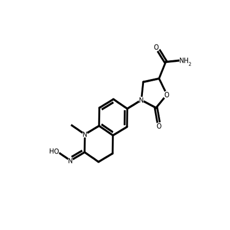 CN1C(=NO)CCc2cc(N3CC(C(N)=O)OC3=O)ccc21